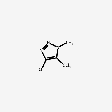 Cn1nnc(Cl)c1C(Cl)(Cl)Cl